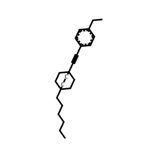 CCCCCCC12CCC(C#Cc3ccc(CC)cc3)(CC1)CC2